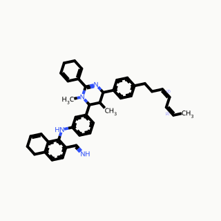 C/C=C\C=C/CCc1ccc(C2N=C(C3=CCCC=C3)N(C)C(c3cccc(Nc4c(C=N)ccc5c4C=CCC5)c3)C2C)cc1